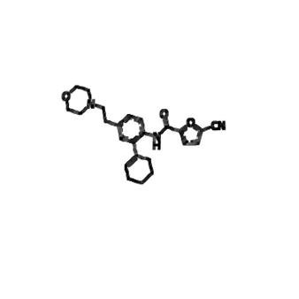 N#Cc1ccc(C(=O)Nc2ccc(CCN3CCOCC3)cc2C2=CCCCC2)o1